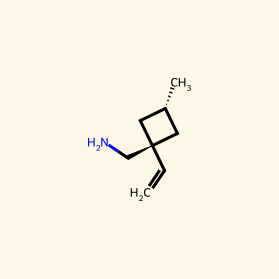 C=C[C@]1(CN)C[C@H](C)C1